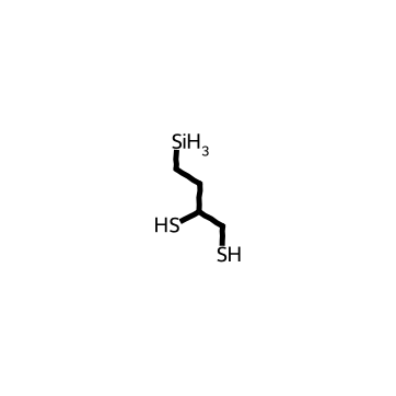 [SiH3]CCC(S)CS